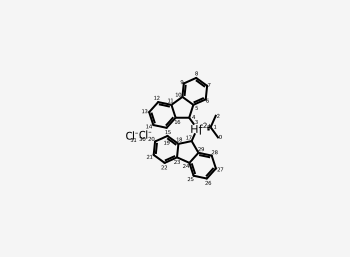 C[C](C)=[Hf+2]([CH]1c2ccccc2-c2ccccc21)[CH]1c2ccccc2-c2ccccc21.[Cl-].[Cl-]